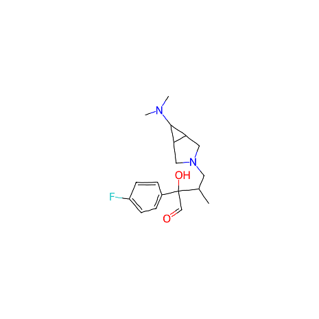 CC(CN1CC2C(C1)C2N(C)C)C(O)(C=O)c1ccc(F)cc1